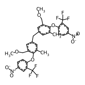 COCc1cc(Cc2cc(C)c(Oc3ccc([N+](=O)[O-])cc3C(F)(F)F)c(COC)c2)cc(C)c1Oc1ccc([N+](=O)[O-])cc1C(F)(F)F